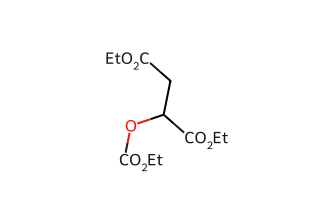 CCOC(=O)CC(OC(=O)OCC)C(=O)OCC